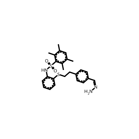 Cc1cc(C)c(C)c(S(=O)(=O)Nc2ccccc2SCCc2ccc(/C=N\N)cc2)c1C